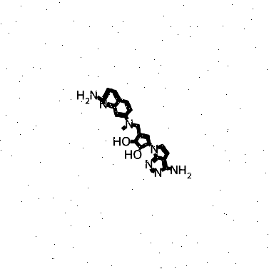 CN(CC1=CC(n2ccc3c(N)ncnc32)[C@@H](O)C1O)c1ccc2ccc(N)nc2c1